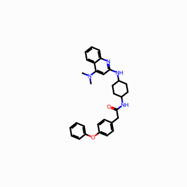 CN(C)c1cc(NC2CCC(NC(=O)Cc3ccc(Oc4ccccc4)cc3)CC2)nc2ccccc12